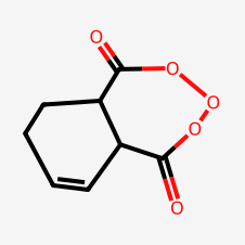 O=C1OOOC(=O)C2CCC=CC12